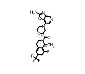 C[C@H]1c2c(F)cc(C(F)(F)F)cc2CCN1C(=O)[C@H]1CN(c2cncc3nc(N)oc23)CCO1